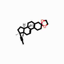 CC#C[C@@]1(C)CC[C@H]2[C@@H]3CCC4=C(CCC5(C4)OCCO5)C3=CC[C@@]21C